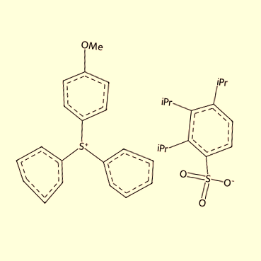 CC(C)c1ccc(S(=O)(=O)[O-])c(C(C)C)c1C(C)C.COc1ccc([S+](c2ccccc2)c2ccccc2)cc1